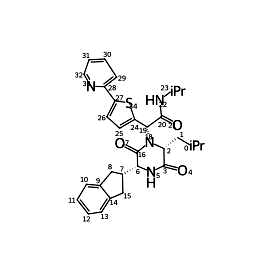 CC(C)C[C@@H]1C(=O)N[C@H](C2Cc3ccccc3C2)C(=O)N1[C@@H](C(=O)NC(C)C)c1ccc(-c2ccccn2)s1